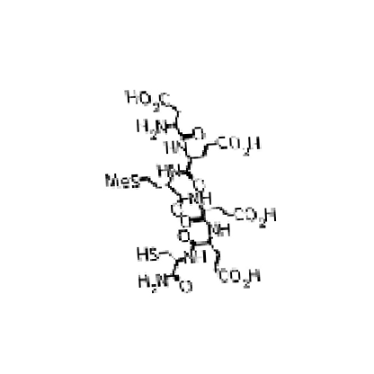 CSCC[C@H](NC(=O)[C@H](CCC(=O)O)NC(=O)[C@@H](N)CC(=O)O)C(=O)N[C@@H](CCC(=O)O)C(=O)N[C@@H](CCC(=O)O)C(=O)N[C@@H](CS)C(N)=O